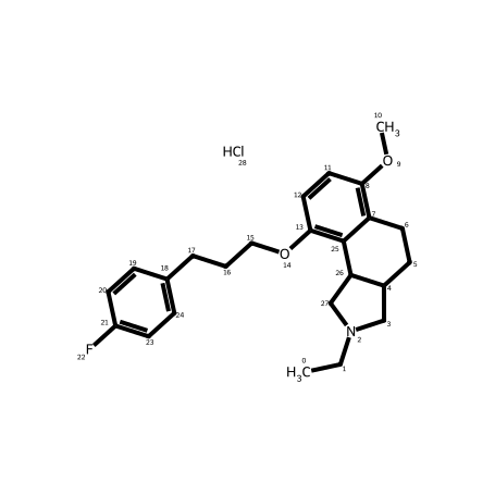 CCN1CC2CCc3c(OC)ccc(OCCCc4ccc(F)cc4)c3C2C1.Cl